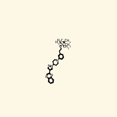 CC(C)(C)[Si](C)(C)OCCc1cccc(N2CCC(n3cc(-c4cnc5ccccc5n4)cn3)CC2)c1